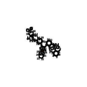 Cc1cccc(F)c1S(=O)(=O)Nc1cccc(-c2nc(N3C4CCC3CN(C)C4)sc2-c2ccnc(NC3[C@H]4CS(=O)(=O)C[C@@H]34)n2)c1F